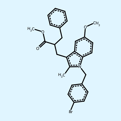 COC(=O)C(Cc1ccccc1)Cc1c(C)n(Cc2ccc(Br)cc2)c2ccc(OC)cc12